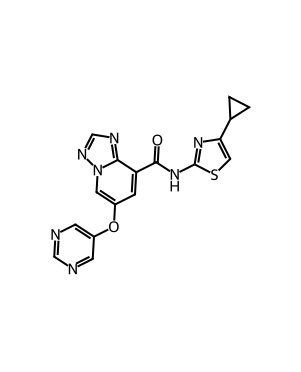 O=C(Nc1nc(C2CC2)cs1)c1cc(Oc2cncnc2)cn2ncnc12